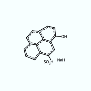 O=S(=O)(O)c1cc2c(O)ccc3ccc4cccc1c4c32.[NaH]